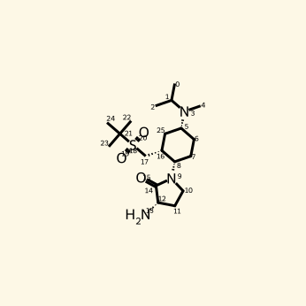 CC(C)N(C)[C@@H]1CC[C@H](N2CC[C@H](N)C2=O)[C@H](CS(=O)(=O)C(C)(C)C)C1